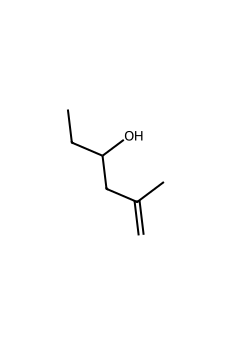 C=C(C)CC(O)CC